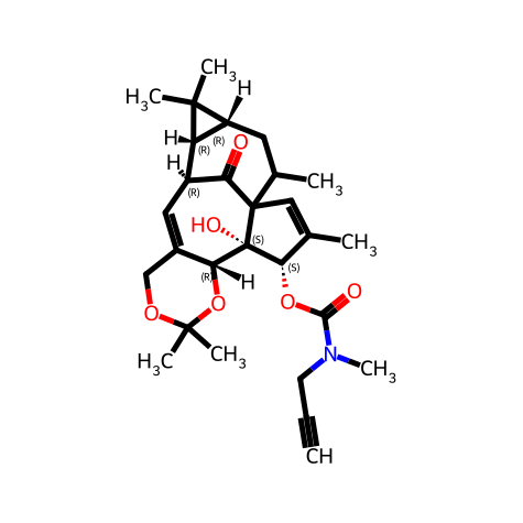 C#CCN(C)C(=O)O[C@H]1C(C)=CC23C(=O)[C@@H](C=C4COC(C)(C)O[C@H]4[C@]12O)[C@H]1[C@@H](CC3C)C1(C)C